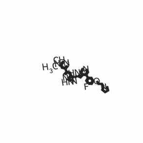 CN(C)c1cncc(-c2cnc3[nH]nc(-c4cc5c(-c6cc(F)cc(OCCN7CCCC7)c6)cncc5[nH]4)c3c2)c1